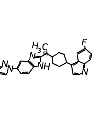 C[C@@H](c1nc2cc(-n3cccn3)ccc2[nH]1)C1CCC(c2ccnc3ccc(F)cc23)CC1